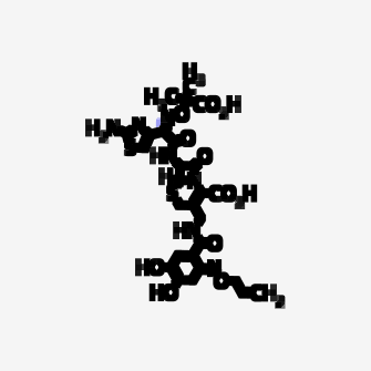 C=CCON=C1CC(O)=C(O)C=C1C(=O)NCC1=C(C(=O)O)N2C(=O)C(NC(=O)/C(=N\OC(C)(C)C(=O)O)c3csc(N)n3)[C@@H]2SC1